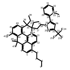 CCCCc1ccc2c3c4[n+](ccc13)C(CC)(CCn1nc(C(F)(F)F)cc1-c1cccc[n+]1C)C(C)(CC)c1ccc(F)c(c1-4)C2(C)C